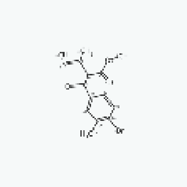 CN=C(C)C(C(=O)OC)C(=O)c1ccc(Br)c(C)c1